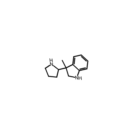 CC1(C2CCCN2)CNc2ccccc21